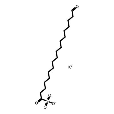 O=CCCCCCCCCCCCCCCCCC(=O)S(=O)(=O)[O-].[K+]